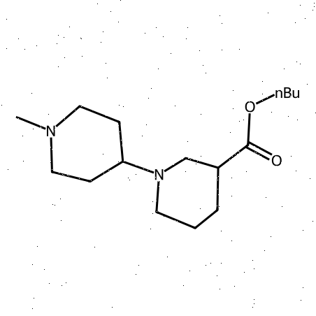 CCCCOC(=O)C1CCCN(C2CCN(C)CC2)C1